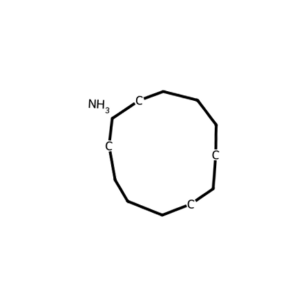 C1CCCCCCCCCCC1.N